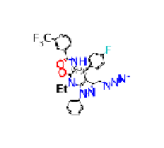 CCN1C(=O)[C@@H](NC(=O)c2cccc(C(F)(F)F)c2)[C@@H](c2ccc(F)cc2)c2c(CN=[N+]=[N-])nn(-c3ccccc3)c21